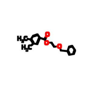 Cc1ccc(C(=O)OCCOCc2ccccc2)cc1C